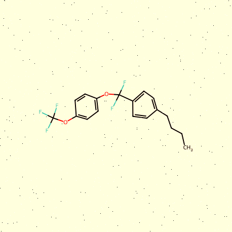 CCCCc1ccc(C(F)(F)Oc2ccc(OC(F)(F)F)cc2)cc1